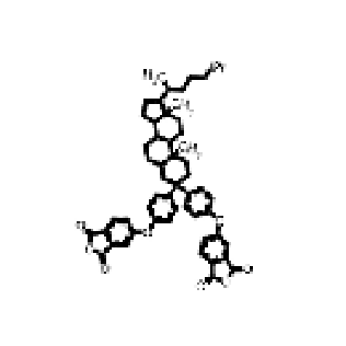 CC(C)CCCC(C)C1CCC2C3CCC4CC(c5ccc(Oc6ccc7c(c6)C(=O)OC7=O)cc5)(c5ccc(Oc6ccc7c(c6)C(=O)OC7=O)cc5)CCC4(C)C3CCC12C